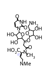 CNC/C=C(/C(=O)O)N(C)C(=O)C[C@H](OC1OC(CN)C(O)C1O)C1OC(n2ccc(=O)[nH]c2=O)C(O)C1O